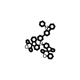 c1ccc(-n2c3ccccc3c3ccc(-c4cccc(N(c5ccc6c(c5)C5(c7ccccc7Oc7ccccc75)c5ccccc5-6)c5cccc6c5-c5ccccc5C65c6ccccc6Oc6ccccc65)c4)cc32)cc1